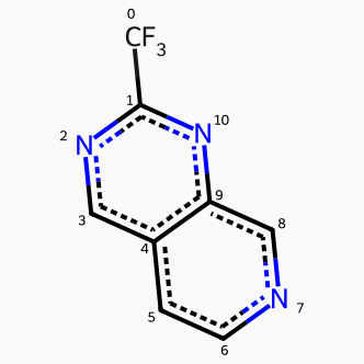 FC(F)(F)c1ncc2ccncc2n1